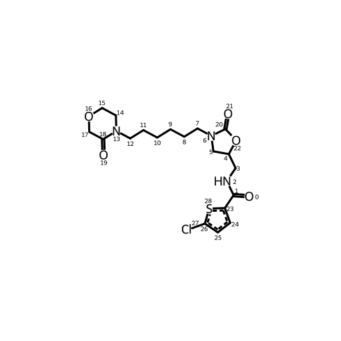 O=C(NCC1CN(CCCCCCN2CCOCC2=O)C(=O)O1)c1ccc(Cl)s1